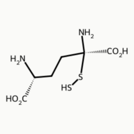 N[C@H](CC[C@@](N)(SS)C(=O)O)C(=O)O